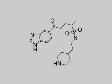 CC(CCC(=O)c1ccc2[nH]cnc2c1)S(=O)(=O)[N]CCC1CCNCC1